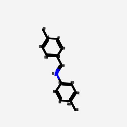 Cc1ccc(C=Nc2ccc(C)cc2)cc1